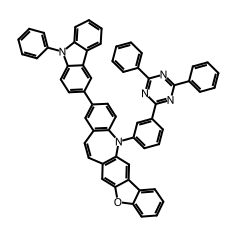 C1=Cc2cc3oc4ccccc4c3cc2N(c2cccc(-c3nc(-c4ccccc4)nc(-c4ccccc4)n3)c2)c2ccc(-c3ccc4c(c3)c3ccccc3n4-c3ccccc3)cc21